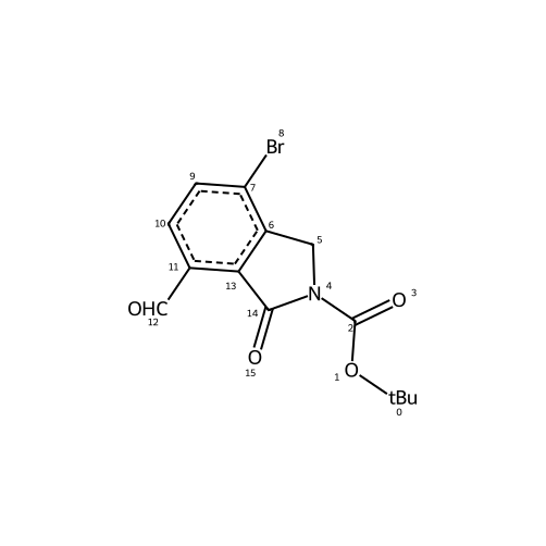 CC(C)(C)OC(=O)N1Cc2c(Br)ccc(C=O)c2C1=O